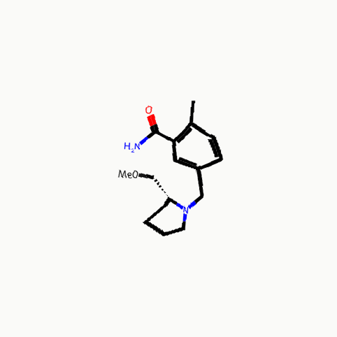 COC[C@H]1CCCN1Cc1ccc(C)c(C(N)=O)c1